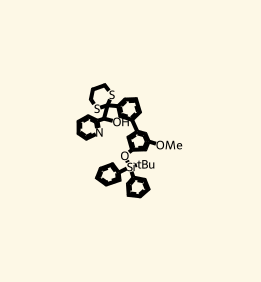 COc1cc(O[Si](c2ccccc2)(c2ccccc2)C(C)(C)C)cc(-c2cccc(C3(C(O)c4ccccn4)SCCCS3)c2)c1